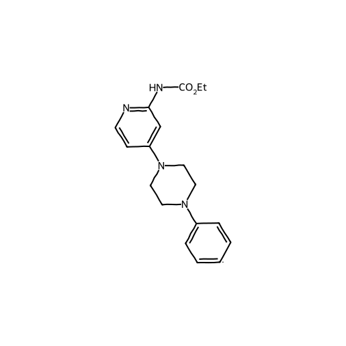 CCOC(=O)Nc1cc(N2CCN(c3cc[c]cc3)CC2)ccn1